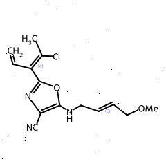 C=C/C(=C(\C)Cl)c1nc(C#N)c(NC/C=C/COC)o1